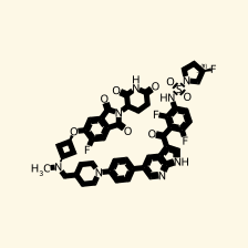 CN(CC1CCN(c2ccc(-c3cnc4[nH]cc(C(=O)c5c(F)ccc(NS(=O)(=O)N6CC[C@@H](F)C6)c5F)c4c3)cc2)CC1)[C@H]1C[C@H](Oc2cc3c(cc2F)C(=O)N(C2CCC(=O)NC2=O)C3=O)C1